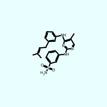 CC(C)=CCc1cccc(Nc2nc(Nc3cccc(S(N)(=O)=O)c3)ncc2C)c1